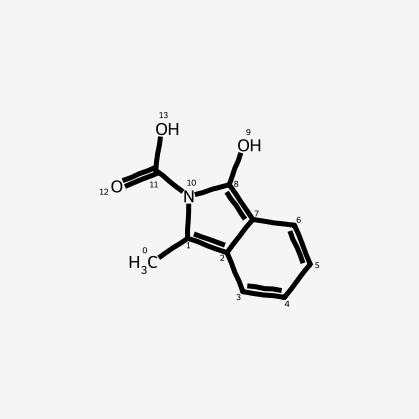 Cc1c2ccccc2c(O)n1C(=O)O